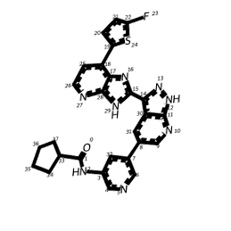 O=C(Nc1cncc(-c2cnc3[nH]nc(-c4nc5c(-c6ccc(F)s6)ccnc5[nH]4)c3c2)c1)C1CCCC1